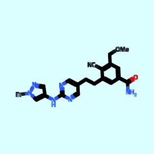 CCn1cc(Nc2ncc(CCc3cc(C(N)=O)cc(COC)c3C#N)cn2)cn1